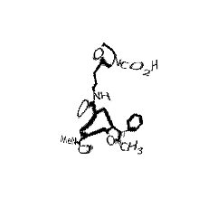 CNC(=O)c1cc(C(=O)NCCCC2CN(C(=O)O)CCO2)cc2c1O[C@H](C)[C@H]2c1ccccc1